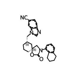 N#Cc1ccc2ncn(C[C@H]3CCC[C@]4(C3)CN(c3cccc5c3CCCC5)C(=O)O4)c2c1